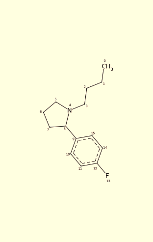 CCCCN1CCCC1c1ccc(F)cc1